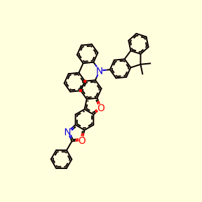 CC1(C)c2ccccc2-c2cc(N(c3ccc4c(c3)oc3cc5oc(-c6ccccc6)nc5cc34)c3ccccc3-c3ccccc3)ccc21